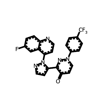 O=c1ccn(-c2ccc(C(F)(F)F)cc2)nc1-c1ccnn1-c1ccnc2ccc(F)cc12